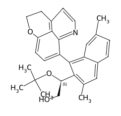 Cc1ccc2cc(C)c([C@@H](CO)OC(C)(C)C)c(-c3ccc4c5c(ccnc35)CCO4)c2c1